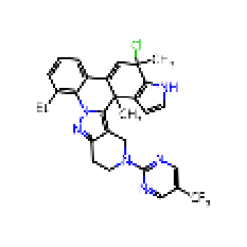 CCc1cccc2c1-n1nc3c(c1C1(C)C2=CC(C)(Cl)c2[nH]ccc21)CN(c1ncc(C(F)(F)F)cn1)CC3